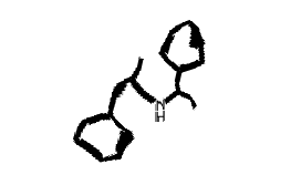 CC(Cc1ccccc1)NC(C)c1ccccc1